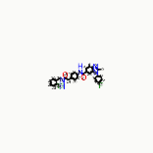 Cc1nc2ccc(C(=O)Nc3ccc(CC(=O)NCc4ccccc4Cl)cc3)cc2n1-c1ccc(F)cc1